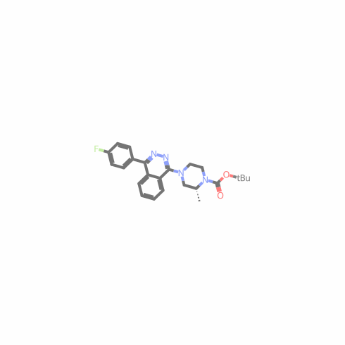 C[C@@H]1CN(c2nnc(-c3ccc(F)cc3)c3ccccc23)CCN1C(=O)OC(C)(C)C